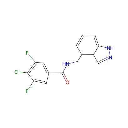 O=C(NCc1cccc2[nH]ncc12)c1cc(F)c(Cl)c(F)c1